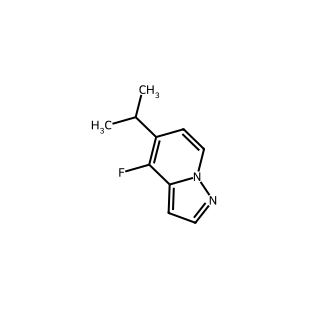 CC(C)c1ccn2nccc2c1F